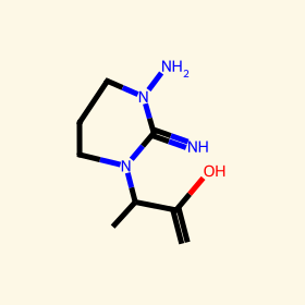 C=C(O)C(C)N1CCCN(N)C1=N